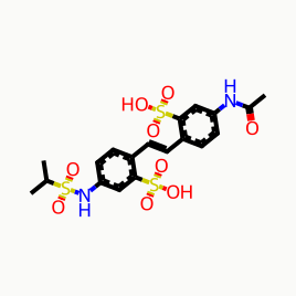 CC(=O)Nc1ccc(/C=C/c2ccc(NS(=O)(=O)C(C)C)cc2S(=O)(=O)O)c(S(=O)(=O)O)c1